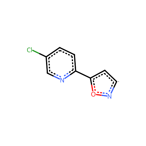 Clc1ccc(-c2c[c]no2)nc1